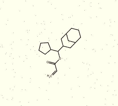 C=CC(=O)OC(C1CCCC1)C1CC2CCCC(C2)C1